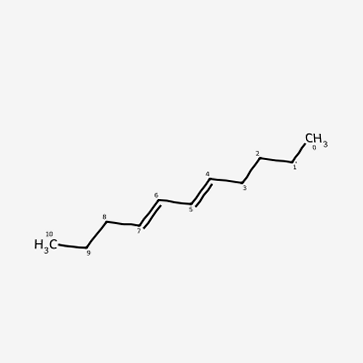 C[CH]CCC=CC=CCCC